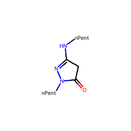 CCCCCNC1=NN(CCCCC)C(=O)C1